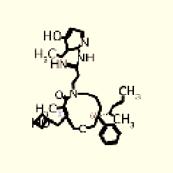 CCCC(C)[C@]1(c2ccccc2)CCC/C(CC2(O)CCC2)=C(/C)C(=O)N(CCC(=N)NC2N=CC=C(O)C2CC)CCC1